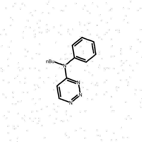 CCCCN(c1ccccc1)c1ccnnn1